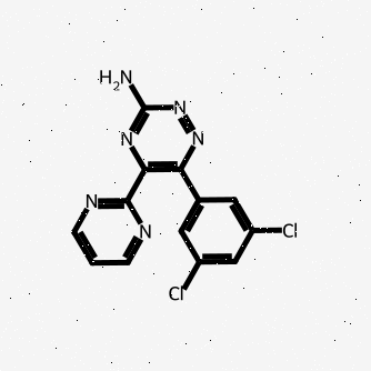 Nc1nnc(-c2cc(Cl)cc(Cl)c2)c(-c2ncccn2)n1